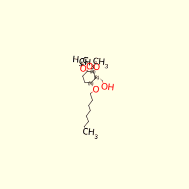 CCCCCCCCO[C@@H]1CCC(OC)(OC)[C@H](OC)[C@@H]1CO